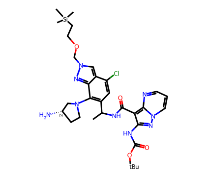 CC(NC(=O)c1c(NC(=O)OC(C)(C)C)nn2cccnc12)c1cc(Cl)c2cn(COCC[Si](C)(C)C)nc2c1N1CC[C@H](N)C1